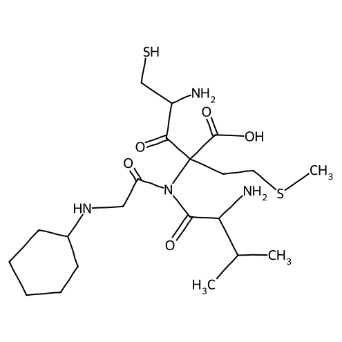 CSCCC(C(=O)O)(C(=O)C(N)CS)N(C(=O)CNC1CCCCC1)C(=O)C(N)C(C)C